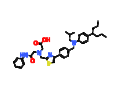 CCCC(CCC)c1ccc(N(Cc2ccc(-c3csc(CN(CC(=O)O)CC(=O)Nc4ccccc4)n3)cc2)CC(C)C)cc1